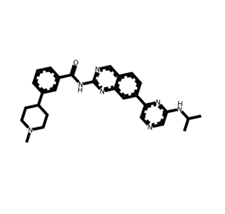 CC(C)Nc1cncc(-c2ccc3cnc(NC(=O)c4cccc(C5CCN(C)CC5)c4)nc3c2)n1